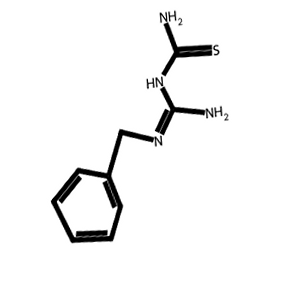 NC(=S)NC(N)=NCc1ccccc1